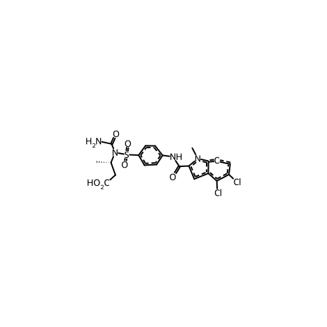 C[C@@H](CC(=O)O)N(C(N)=O)S(=O)(=O)c1ccc(NC(=O)c2cc3c(Cl)c(Cl)ccc3n2C)cc1